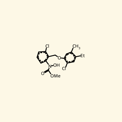 CCc1cc(Cl)c(OCc2c(Cl)cccc2N(O)C(=O)OC)cc1C